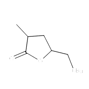 CCCCCC1CC(C)C(=O)O1